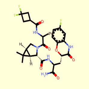 CC(C)C(NC(=O)C1CC(F)(F)C1)C(=O)N1C[C@H]2[C@@H]([C@H]1C(=O)NC(C[C@@H]1Oc3ccc(F)cc3NC1=O)C(N)=O)C2(C)C